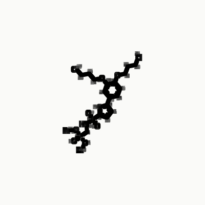 CCOP(=O)(CNS(=O)(=O)c1ccc(-c2ccc(OCCCCl)c(OCCCCl)c2)s1)OCC